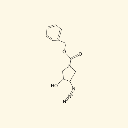 [N-]=[N+]=NC1CN(C(=O)OCc2ccccc2)CC1O